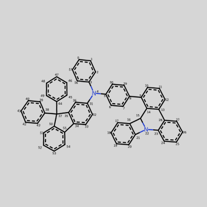 c1ccc(N(c2ccc(-c3cccc4c3C3c5ccccc5N3c3ccccc3-4)cc2)c2ccc3c(c2)C(c2ccccc2)(c2ccccc2)c2ccccc2-3)cc1